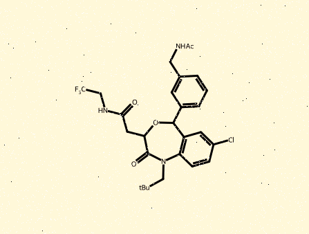 CC(=O)NCc1cccc(C2OC(CC(=O)NCC(F)(F)F)C(=O)N(CC(C)(C)C)c3ccc(Cl)cc32)c1